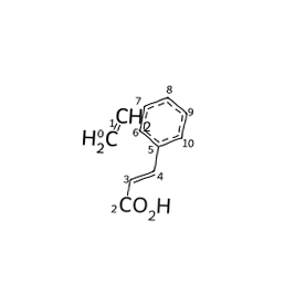 C=C.O=C(O)C=Cc1ccccc1